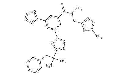 Cc1coc(CN(C)C(=O)c2cc(-c3ncco3)cc(-c3nnc(C(C)(N)Cc4ccccc4)o3)c2)n1